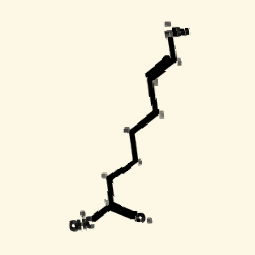 CCCCC=CCCCCC(=O)C=O